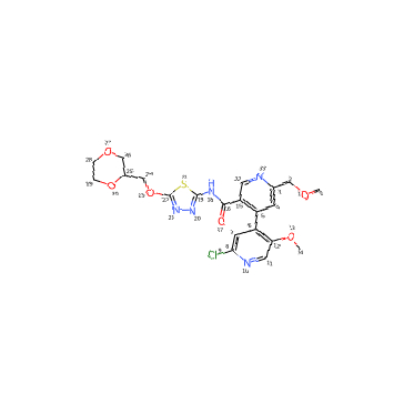 COCc1cc(-c2cc(Cl)ncc2OC)c(C(=O)Nc2nnc(OCC3COCCO3)s2)cn1